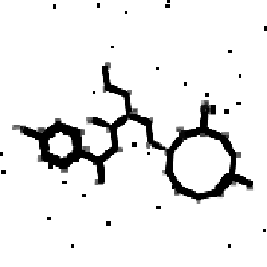 CCCN(CC[C@H]1CCC/C=C(/C)CCC(O)O1)[C@H](C)CC(C)c1ccc(F)cc1